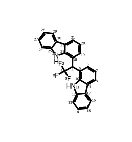 FC(F)(F)C(c1cccc2c1[nH]c1ccccc12)c1cccc2c1[nH]c1ccccc12